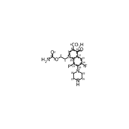 NC(=O)OCCn1cc(C(=O)O)c(=O)c2cc(F)c(N3CCNCC3)c(F)c21